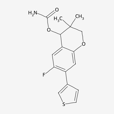 CC1(C)COc2cc(-c3ccsc3)c(F)cc2C1OC(N)=O